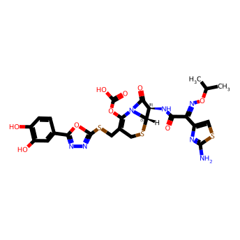 CC(C)ON=C(C(=O)N[C@@H]1C(=O)N2C(OC(=O)O)=C(CSc3nnc(-c4ccc(O)c(O)c4)o3)CS[C@@H]12)c1csc(N)n1